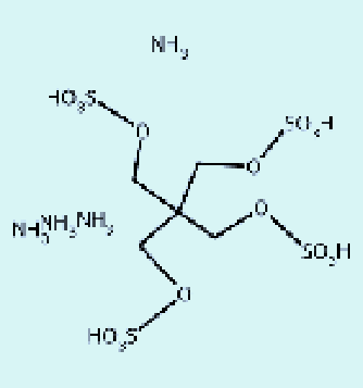 N.N.N.N.O=S(=O)(O)OCC(COS(=O)(=O)O)(COS(=O)(=O)O)COS(=O)(=O)O